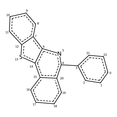 c1ccc(-c2nc3c4ccccc4sc3c3ccccc23)cc1